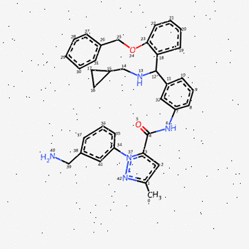 Cc1cc(C(=O)Nc2cccc(C(NCC3CC3)c3ccccc3OCc3ccccc3)c2)n(-c2cccc(CN)c2)n1